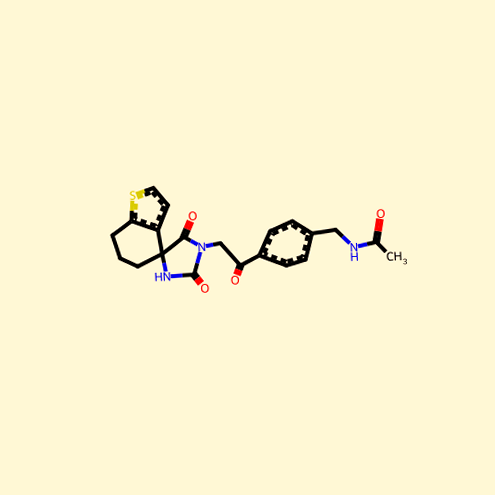 CC(=O)NCc1ccc(C(=O)CN2C(=O)NC3(CCCc4sccc43)C2=O)cc1